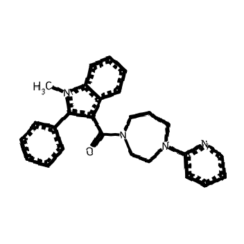 Cn1c(-c2ccccc2)c(C(=O)N2CCCN(c3ccccn3)CC2)c2ccccc21